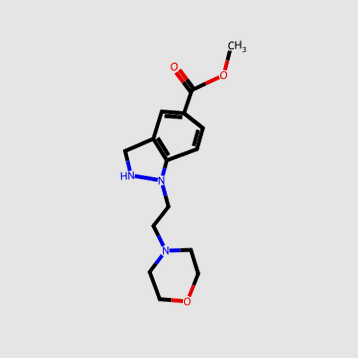 COC(=O)c1ccc2c(c1)CNN2CCN1CCOCC1